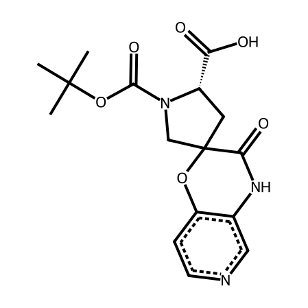 CC(C)(C)OC(=O)N1CC2(C[C@H]1C(=O)O)Oc1ccncc1NC2=O